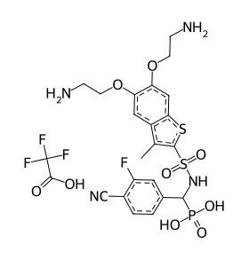 Cc1c(S(=O)(=O)NC(c2ccc(C#N)c(F)c2)P(=O)(O)O)sc2cc(OCCN)c(OCCN)cc12.O=C(O)C(F)(F)F